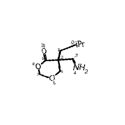 CC(C)CC1(CN)COCOC1=O